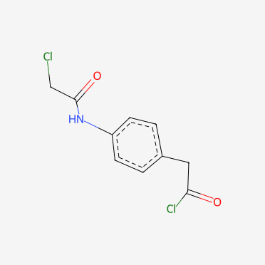 O=C(Cl)Cc1ccc(NC(=O)CCl)cc1